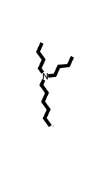 [CH2]CCCCCN(CCCC)CCCC